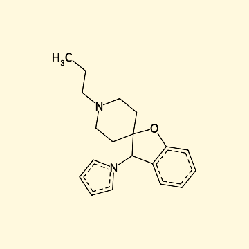 CCCN1CCC2(CC1)Oc1ccccc1C2n1cccc1